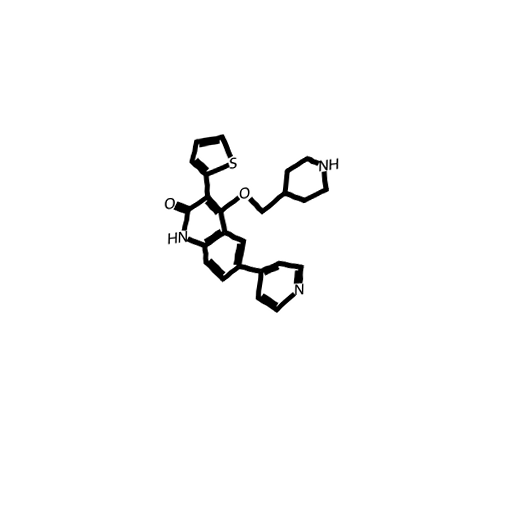 O=c1[nH]c2ccc(-c3ccncc3)cc2c(OCC2CCNCC2)c1-c1cccs1